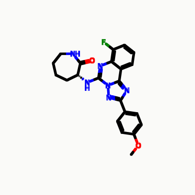 COc1ccc(-c2nc3c4cccc(F)c4nc(N[C@@H]4CCCCNC4=O)n3n2)cc1